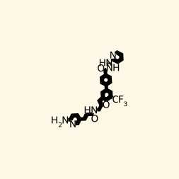 Nc1ccc(C=CC(=O)NCc2cc3cc(-c4ccc(C(=O)NNc5ccccn5)cc4)cc(C(F)(F)F)c3o2)cn1